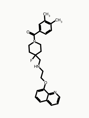 Cc1ccc(C(=O)N2CCC(F)(CNCCOc3cccc4cccnc34)CC2)cc1C